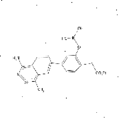 CCOC(=O)Cc1ccc(-c2ccc3c(N)nnc(C)c3c2)cc1OB(O)O